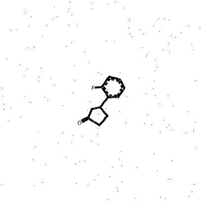 O=C1CCC(c2ccccc2F)C1